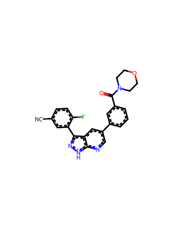 N#Cc1ccc(F)c(-c2n[nH]c3ncc(-c4cccc(C(=O)N5CCOCC5)c4)cc23)c1